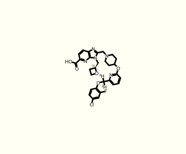 [2H]C([2H])(Oc1ccc(Cl)cc1F)c1cccc(OC2CCN(Cc3nc4ccc(C(=O)O)nc4n3C[C@@H]3CCO3)CC2)n1